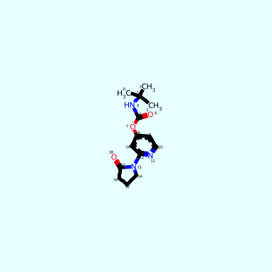 CC(C)(C)NC(=O)Oc1ccnc(N2CCCC2=O)c1